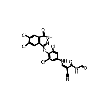 N#C/C(=C/Nc1cc(Cl)c(Oc2n[nH]c(=O)c3cc(Cl)c(Cl)cc23)c(Cl)c1)C(=O)NC=O